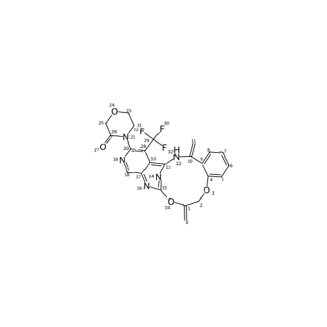 C=C1COc2ccccc2C(=C)Nc2nc(nc3cnc(N4CCOCC4=O)c(C(F)(F)F)c23)O1